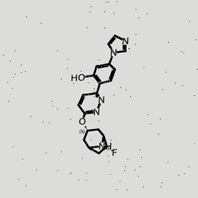 Oc1cc(-n2ccnc2)ccc1-c1ccc(O[C@H]2CC3C[C@@H](F)C(C2)N3)nn1